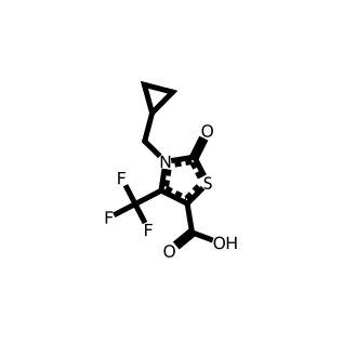 O=C(O)c1sc(=O)n(CC2CC2)c1C(F)(F)F